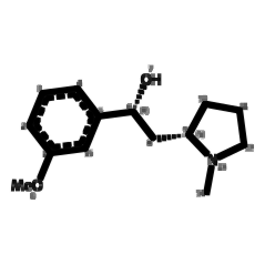 COc1cccc([C@H](O)C[C@@H]2CCCN2C)c1